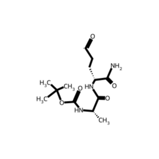 C[C@H](NC(=O)OC(C)(C)C)C(=O)N[C@H](CC[C]=O)C(N)=O